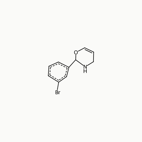 Brc1cccc(C2NCC=CO2)c1